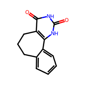 O=c1[nH]c2c(c(=O)[nH]1)CCCc1ccccc1-2